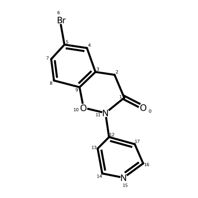 O=C1Cc2cc(Br)ccc2ON1c1ccncc1